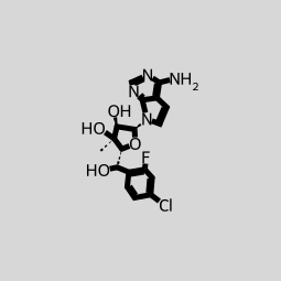 C[C@@]1(O)[C@@H](C(O)c2ccc(Cl)cc2F)O[C@@H](n2ccc3c(N)ncnc32)[C@@H]1O